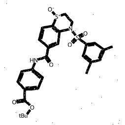 Cc1cc(C)cc(S(=O)(=O)N2CC[S+]([O-])c3ccc(C(=O)Nc4ccc(C(=O)OC(C)(C)C)cc4)cc32)c1